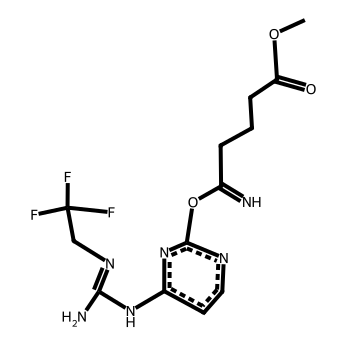 COC(=O)CCCC(=N)Oc1nccc(NC(N)=NCC(F)(F)F)n1